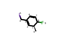 C[C@H]1C=C(CI)C=CC1F